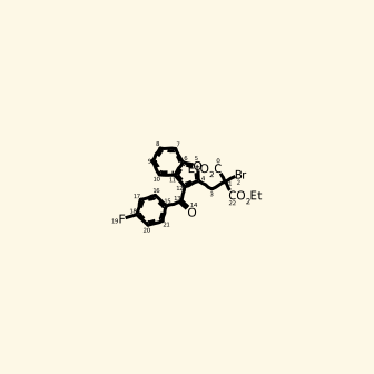 CCOC(=O)C(Br)(Cc1oc2ccccc2c1C(=O)c1ccc(F)cc1)C(=O)OCC